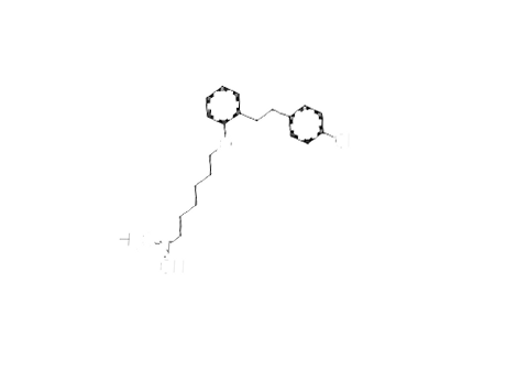 CN(C)CCCCCCOc1ccccc1CCc1ccc(Cl)cc1